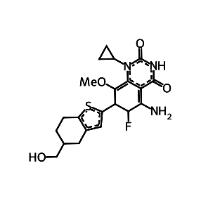 COC1=c2c(c(=O)[nH]c(=O)n2C2CC2)=C(N)C(F)C1c1cc2c(s1)CCC(CO)C2